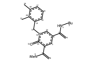 C=C(NC(C)CC)c1cc(C(=C)NC)c(=O)n(Cc2cccc(C)c2C)c1